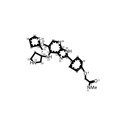 CNC(=O)COc1ccc(-c2nc3c(N[C@]4(Cc5cccs5)CCNC4)c(Cl)cnc3[nH]2)cc1